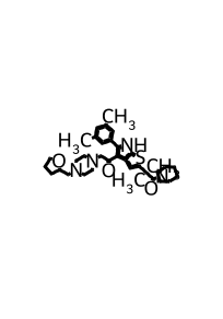 Cc1cc(C)cc(-c2[nH]c3sc(C(C)(C)C(=O)N4C5CCC4CC5)cc3c2C(=O)CN2CCN(CC3CCCO3)CC2)c1